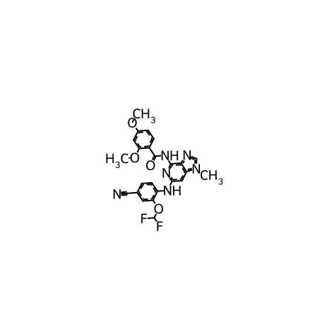 COc1ccc(C(=O)Nc2nc(Nc3ccc(C#N)cc3OC(F)F)cc3c2ncn3C)c(OC)c1